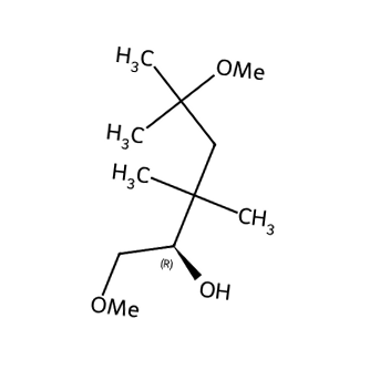 COC[C@H](O)C(C)(C)CC(C)(C)OC